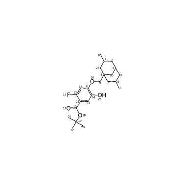 CC1CC2CC(C)CC(COc3cc(F)c(C(=O)OC(C)(C)C)cc3O)(C1)C2